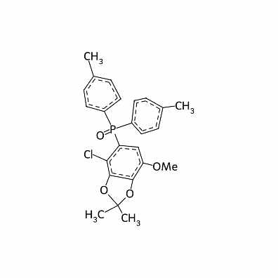 COc1cc(P(=O)(c2ccc(C)cc2)c2ccc(C)cc2)c(Cl)c2c1OC(C)(C)O2